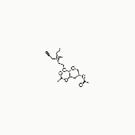 C#CC[N+](C)(CF)CCOC1OCC(OC(C)=O)CC1OC(C)=O